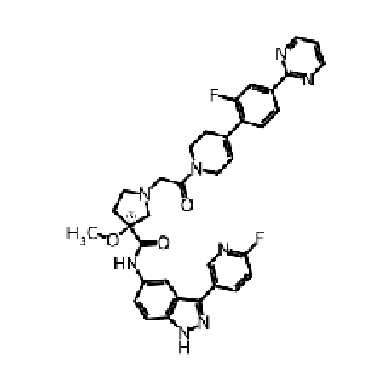 CO[C@@]1(C(=O)Nc2ccc3[nH]nc(-c4ccc(F)nc4)c3c2)CCN(CC(=O)N2CC=C(c3ccc(-c4ncccn4)cc3F)CC2)C1